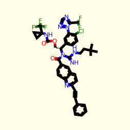 CC(C)(C)CCNC(=N)N(C(=O)c1ccc2nc(C#Cc3ccccc3)ccc2c1)[C@H](COC(=O)NC1(C(F)(F)F)CC1)c1ccc(Cl)c(-n2ncnc2C(F)F)c1